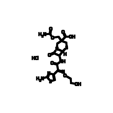 Cl.NC(=O)OCC1(C(=O)O)CS[C@@H]2C(NC(=O)C(=NOCCO)c3csc(N)n3)C(=O)N2C1